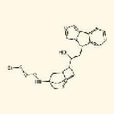 CCSOONC12CC=C3C(C1)C(C(O)CC1c4ccccc4-c4cncn41)C3C2